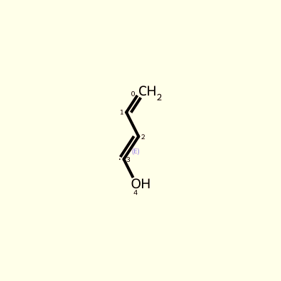 C=C/C=[C]/O